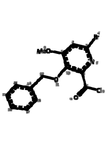 COc1cc(Br)nc(C(=O)Cl)c1OCc1ccccc1